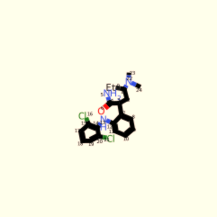 CCC(CC(C(N)=O)c1ccccc1Nc1c(Cl)cccc1Cl)N(C)C